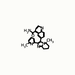 Cc1cccc(-c2nc3n(c2-c2ccc4nccc(C(N)=O)c4c2)[C@H](C)CCC3)n1